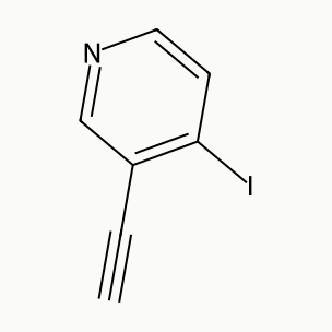 C#Cc1cnccc1I